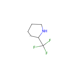 FC(F)(F)C1[CH]CCCN1